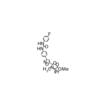 COC(=O)[C@H](C(C)C)N(C)C(=O)c1cc(-c2ccc(NC(=O)Nc3ccc(F)cc3)cc2)no1